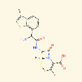 CC1=C(C(=O)O)N2C(=O)[C@@H](NC(=O)C(N)c3cccc4c(C)csc34)[C@@H]2SC1